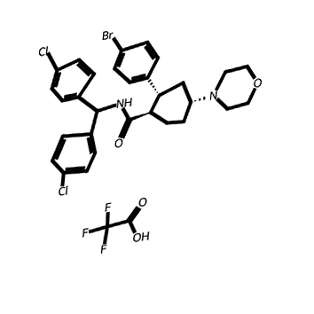 O=C(NC(c1ccc(Cl)cc1)c1ccc(Cl)cc1)[C@@H]1CC[C@@H](N2CCOCC2)C[C@H]1c1ccc(Br)cc1.O=C(O)C(F)(F)F